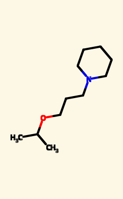 CC(C)OCCCN1CCCCC1